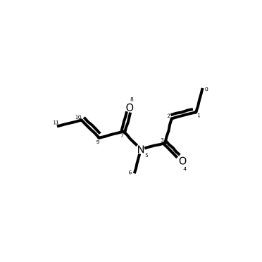 CC=CC(=O)N(C)C(=O)C=CC